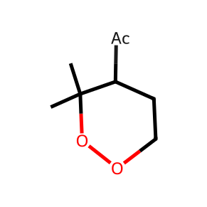 CC(=O)C1CCOOC1(C)C